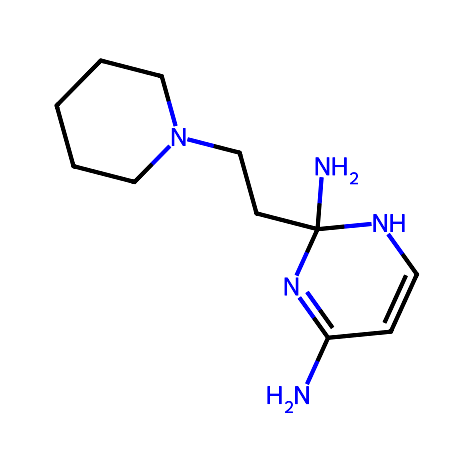 NC1=NC(N)(CCN2CCCCC2)NC=C1